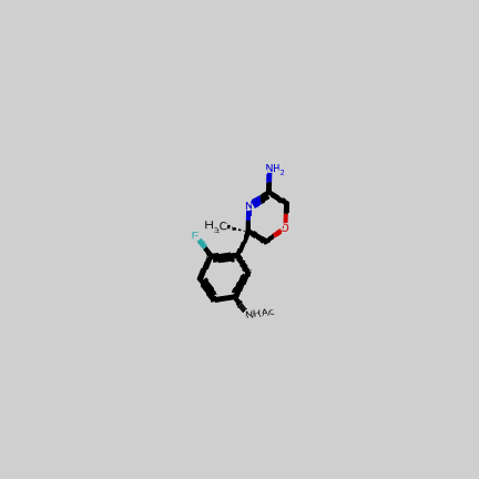 CC(=O)Nc1ccc(F)c([C@]2(C)COCC(N)=N2)c1